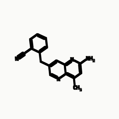 Cc1cc(N)nc2cc(Cc3ccccc3C#N)cnc12